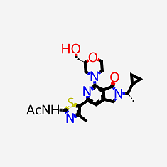 CC(=O)Nc1nc(C)c(-c2cc3c(c(N4CCO[C@@H](CO)C4)n2)C(=O)N([C@@H](C)C2CC2)C3)s1